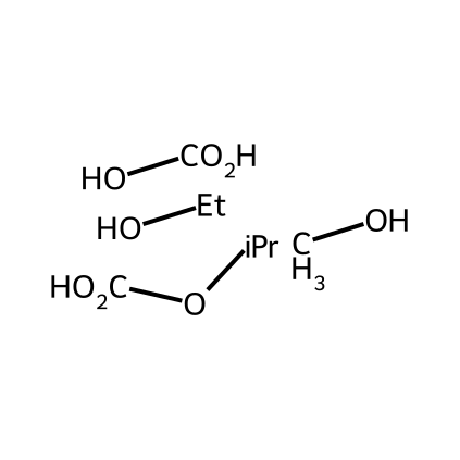 CC(C)OC(=O)O.CCO.CO.O=C(O)O